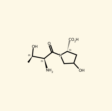 C[C@@H](O)[C@H](N)C(=O)N1CC(O)C[C@H]1C(=O)O